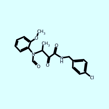 COc1ccccc1N(C=O)C(C)C(=O)C(=O)NCc1ccc(Cl)cc1